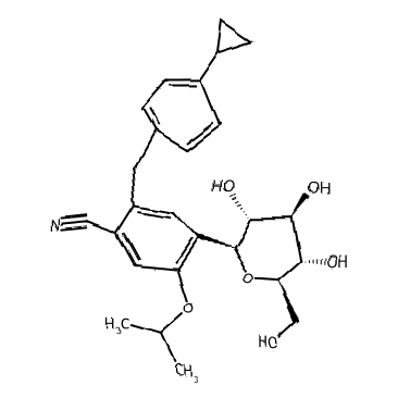 CC(C)Oc1cc(C#N)c(Cc2ccc(C3CC3)cc2)cc1[C@@H]1O[C@H](CO)[C@@H](O)[C@H](O)[C@H]1O